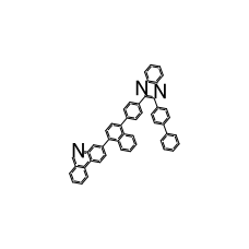 c1ccc(-c2ccc(-c3nc4ccccc4nc3-c3ccc(-c4ccc(-c5ccc6c(c5)ncc5ccccc56)c5ccccc45)cc3)cc2)cc1